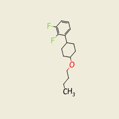 CCCCOC1CCC(c2cccc(F)c2F)CC1